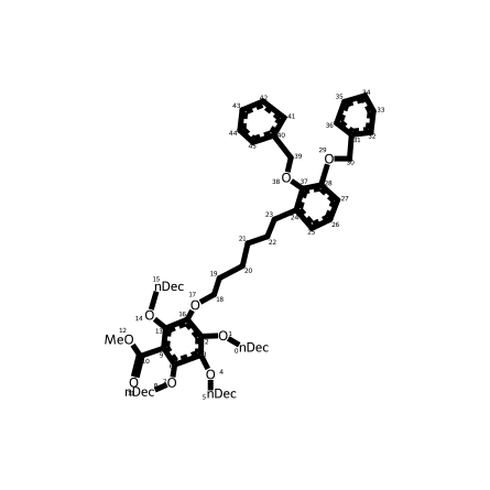 CCCCCCCCCCOc1c(OCCCCCCCCCC)c(OCCCCCCCCCC)c(C(=O)OC)c(OCCCCCCCCCC)c1OCCCCCCc1cccc(OCc2ccccc2)c1OCc1ccccc1